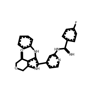 N=C(Nc1cc(-c2[nH]c3c(c2Nc2ccccc2)C(=O)COC3)ccn1)c1ccc(F)cc1